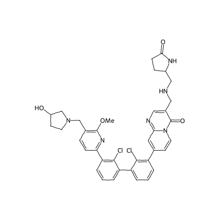 COc1nc(-c2cccc(-c3cccc(-c4ccn5c(=O)c(CNCC6CCC(=O)N6)cnc5c4)c3Cl)c2Cl)ccc1CN1CCC(O)C1